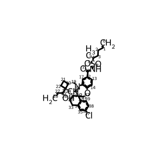 C=CCC[C@@H](C)S(=O)(=O)NC(=O)c1ccc2c(c1)N(C[C@H]1CC[C@]1(C)[C@@H](O)C=C)C[C@@]1(CCCc3cc(Cl)ccc31)CO2